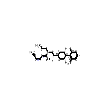 C#C/C=C\C=C(/C)N(CCC)CCC1CCC(c2c(N)cccc2N)CC1